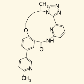 Cc1ccc(-c2ccc3c(c2)C(=O)Nc2cccc(n2)-c2nncn2C(C)CCCO3)cn1